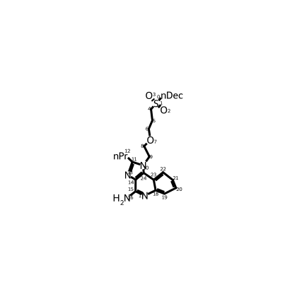 CCCCCCCCCCS(=O)(=O)CCCOCCn1c(CCC)nc2c(N)nc3ccccc3c21